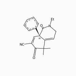 CCN1CC=C2C(C)(C)C(=O)C(C#N)=C[C@]2(c2ccccc2)C1=O